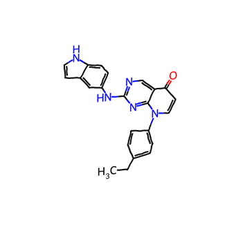 CCc1ccc(-n2ccc(=O)c3cnc(Nc4ccc5[nH]ccc5c4)nc32)cc1